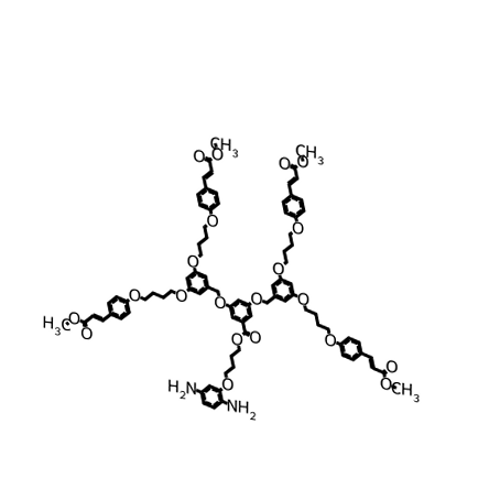 COC(=O)C=Cc1ccc(OCCCCOc2cc(COc3cc(OCc4cc(OCCCCOc5ccc(C=CC(=O)OC)cc5)cc(OCCCCOc5ccc(C=CC(=O)OC)cc5)c4)cc(C(=O)OCCCCOc4cc(N)ccc4N)c3)cc(OCCCCOc3ccc(C=CC(=O)OC)cc3)c2)cc1